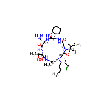 CCCCN1C[C@@H](C)NC(=O)[C@H]([C@H](C)O)NC(=O)[C@H](CN)NC(=O)[C@H](C2CCCCC2)NC(=O)[C@H](CC(C)C)N(C)C(=O)[C@@H]1CCCF